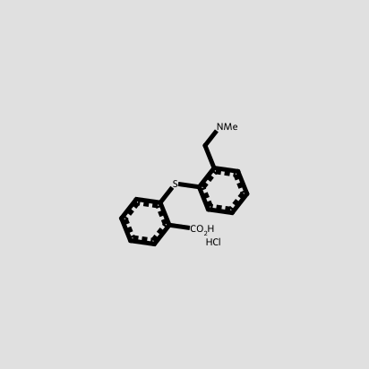 CNCc1ccccc1Sc1ccccc1C(=O)O.Cl